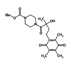 CC1=C(C)C(=O)C(CCC(C)(O)C(=O)N2CCN(C(=O)OC(C)(C)C)CC2)=C(C)C1=O